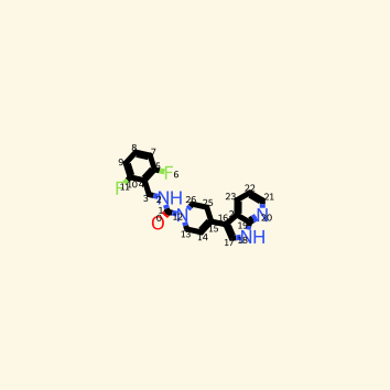 O=C(NCc1c(F)cccc1F)N1CC=C(c2c[nH]c3ncccc23)CC1